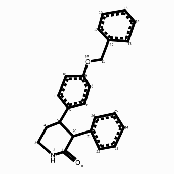 O=C1NCCC(c2ccc(OCc3ccccc3)cc2)C1c1ccccc1